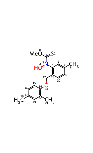 COC(=S)N(O)c1cc(C)ccc1COc1ccc(C)cc1C